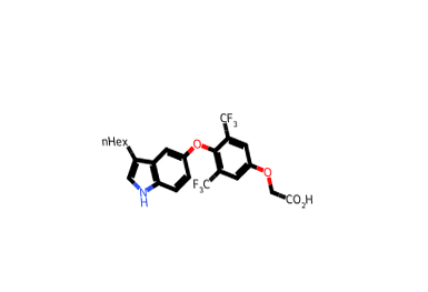 CCCCCCc1c[nH]c2ccc(Oc3c(C(F)(F)F)cc(OCC(=O)O)cc3C(F)(F)F)cc12